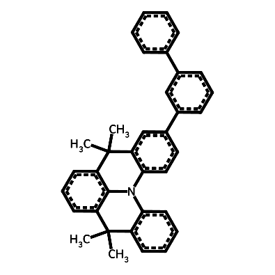 CC1(C)c2ccccc2N2c3ccc(-c4cccc(-c5ccccc5)c4)cc3C(C)(C)c3cccc1c32